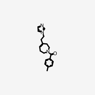 Cc1ccc(C(=O)N2CCC=C(CCn3ccnc3)CC2)cc1